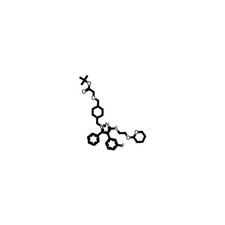 CC(C)(C)OC(=O)COCC1CCC(Cn2nc(SCCOC3CCCCO3)c(-c3cccc(F)c3)c2-c2ccccc2)CC1